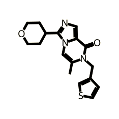 Cc1cn2c(C3CCOCC3)ncc2c(=O)n1Cc1ccsc1